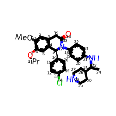 COc1cc2c(cc1OC(C)C)[C@H](c1ccc(Cl)cc1)N(c1ccc(NC(C)C3CCNCC3)cc1)C(=O)C2